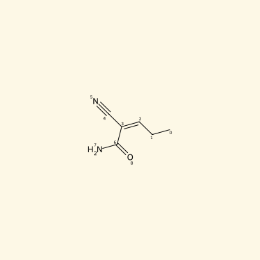 CCC=C(C#N)C(N)=O